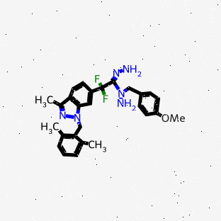 COc1ccc(CN(N)/C(=N\N)C(F)(F)c2ccc3c(C)nn(Cc4c(C)cccc4C)c3c2)cc1